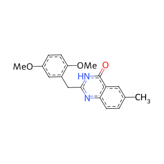 COc1ccc(OC)c(Cc2nc3ccc(C)cc3c(=O)[nH]2)c1